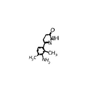 Cc1ccc(C2=NNC(=O)CC2)c(C)c1N